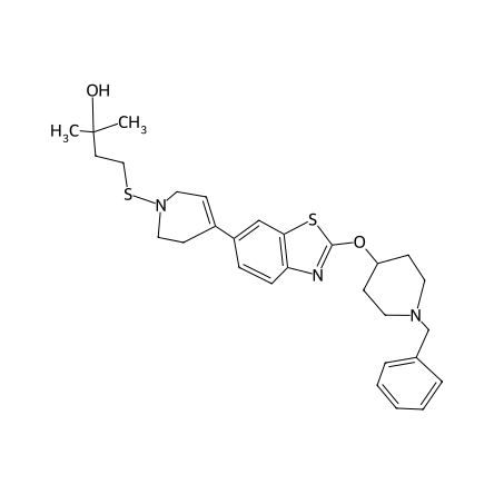 CC(C)(O)CCSN1CC=C(c2ccc3nc(OC4CCN(Cc5ccccc5)CC4)sc3c2)CC1